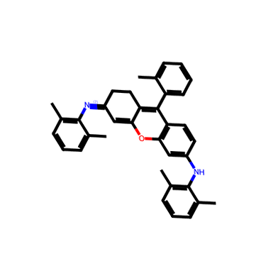 Cc1ccccc1C1=C2CC/C(=N/c3c(C)cccc3C)C=C2Oc2cc(Nc3c(C)cccc3C)ccc21